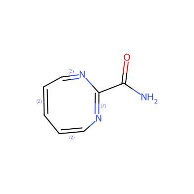 NC(=O)C1=N/C=C\C=C/C=N\1